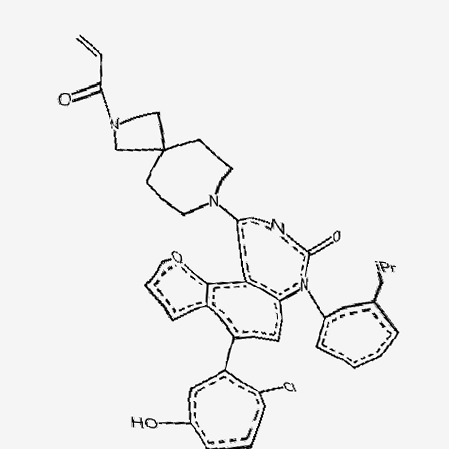 C=CC(=O)N1CC2(CCN(c3nc(=O)n(-c4ccccc4C(C)C)c4cc(-c5cc(O)ccc5Cl)c5ccoc5c34)CC2)C1